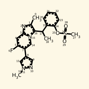 Cc1nc2cc(F)c(-c3cnn(C)c3)cn2c1C(C)c1ccccc1OS(C)(=O)=O